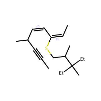 CC#CC(C)/C=C\C(=C/C)SCC(C)C(C)(CC)CC